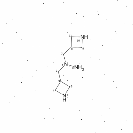 NN(CC1CNC1)CC1CNC1